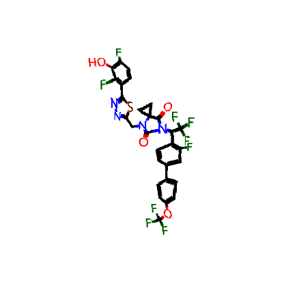 O=C1N(C(c2ccc(-c3ccc(OC(F)(F)F)cc3)cc2F)C(F)(F)F)C(=O)C2(CC2)N1Cc1nnc(-c2ccc(F)c(O)c2F)s1